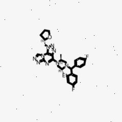 CC[C@@H]1CN(c2nc3nncn3c3c2nnn3C[C@@H]2CCCO2)[C@@H](C)CN1C(c1ccc(F)cc1)c1ccc(F)cc1